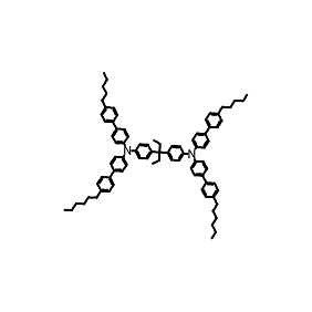 CCCCCCc1ccc(-c2ccc(N(c3ccc(-c4ccc(CCCCC)cc4)cc3)c3ccc(C(CC)(CC)c4ccc(N(c5ccc(-c6ccc(CCCCC)cc6)cc5)c5ccc(-c6ccc(CCCCCC)cc6)cc5)cc4)cc3)cc2)cc1